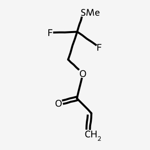 C=CC(=O)OCC(F)(F)SC